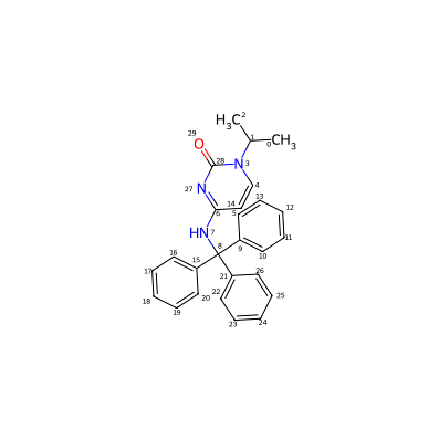 CC(C)n1ccc(NC(c2ccccc2)(c2ccccc2)c2ccccc2)nc1=O